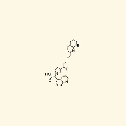 O=C(O)C(c1cccc2ncccc12)N1CCC(C(F)CCCCc2ccc3c(n2)NCCC3)C1